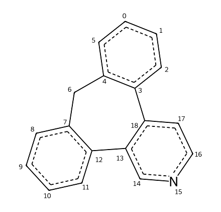 c1ccc2c(c1)Cc1ccccc1-c1cnccc1-2